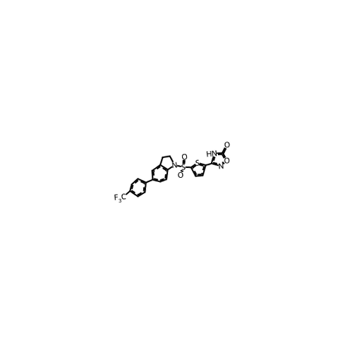 O=c1[nH]c(-c2ccc(S(=O)(=O)N3CCc4cc(-c5ccc(C(F)(F)F)cc5)ccc43)s2)no1